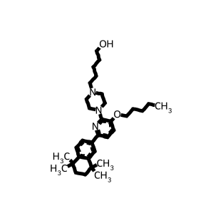 CCCCCOc1ccc(-c2ccc3c(c2)C(C)(C)CCC3(C)C)nc1N1CCN(CCCCCO)CC1